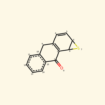 O=C1C2=C(C=CC3SC23)Cc2ccccc21